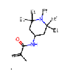 C=C(C)C(=O)NC1CC(CC)(CC)N(CC)C(CC)(CC)C1